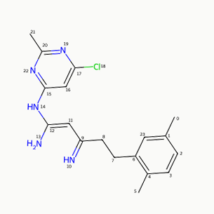 Cc1ccc(C)c(CCC(=N)/C=C(\N)Nc2cc(Cl)nc(C)n2)c1